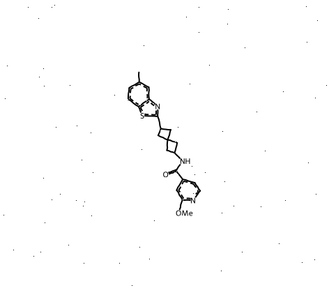 COc1cc(C(=O)NC2CC3(C2)CC(c2nc4cc(C)ccc4s2)C3)ccn1